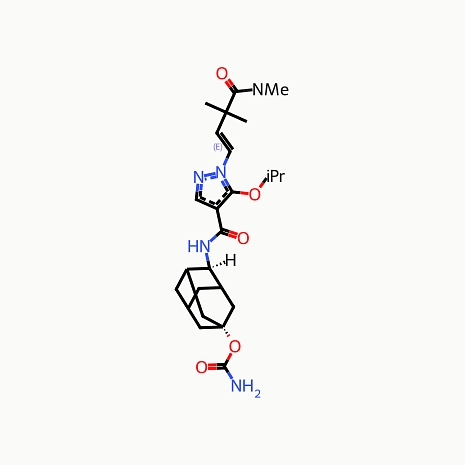 CNC(=O)C(C)(C)/C=C/n1ncc(C(=O)N[C@H]2C3CC4CC2C[C@](OC(N)=O)(C4)C3)c1OC(C)C